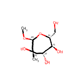 CO[C@H]1O[C@H](CO)[C@@H](O)[C@H](O)[C@]1(C)O